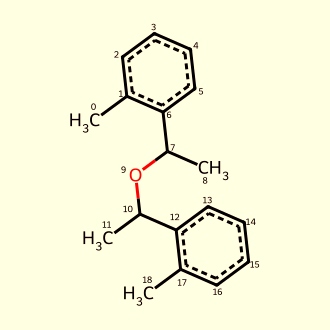 Cc1ccccc1C(C)OC(C)c1ccccc1C